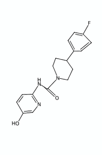 O=C(Nc1ccc(O)cn1)N1CCC(c2ccc(F)cc2)CC1